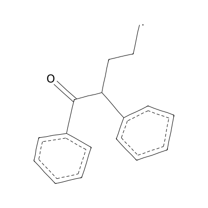 [CH2]CCC(C(=O)c1ccccc1)c1ccccc1